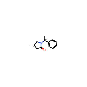 C[C@H]1CC(=O)N([C@@H](C)c2ccccc2)C1